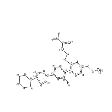 C=C(C)C(=O)OCCc1cc(CCO)ccc1-c1ccc(-c2ccc(C3CCCCC3)cc2)cc1F